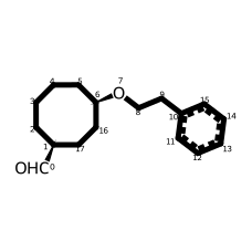 O=C[C@H]1CCCC[C@@H](OCCc2ccccc2)CC1